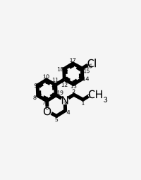 CCCN1CCOc2cccc(-c3ccc(Cl)cc3)c21